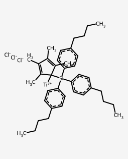 CCCCc1ccc([Si](c2ccc(CCCC)cc2)(c2ccc(CCCC)cc2)[C]2([Ti+3])C(C)=C(C)C(C)=C2C)cc1.[Cl-].[Cl-].[Cl-]